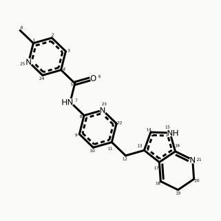 Cc1ccc(C(=O)Nc2ccc(Cc3c[nH]c4c3=CCCN=4)cn2)cn1